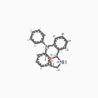 c1ccc(N(c2ccccc2)c2ccccc2C2NCCN2)cc1